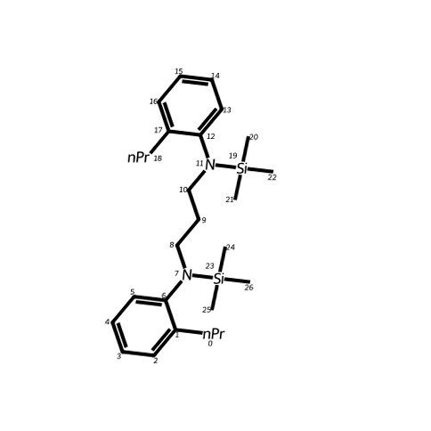 CCCc1ccccc1N(CCCN(c1ccccc1CCC)[Si](C)(C)C)[Si](C)(C)C